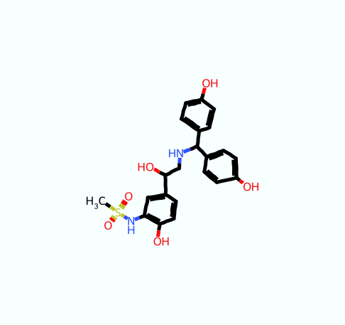 CS(=O)(=O)Nc1cc(C(O)CNC(c2ccc(O)cc2)c2ccc(O)cc2)ccc1O